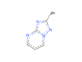 CC(C)c1nc2ncccn2n1